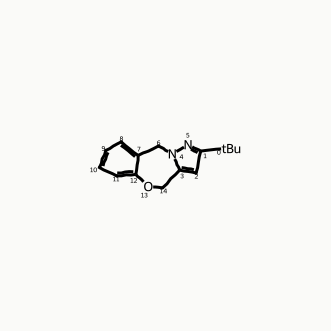 CC(C)(C)c1cc2n(n1)Cc1ccccc1OC2